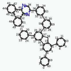 c1ccc(-c2cc(-c3ccccc3)c3c(c2)-c2cc(-c4ccccc4)cc(-c4cccc(-c5cccc(-c6cnc7c8ccccc8c8ccccc8c7n6)c5)c4)c2C3)cc1